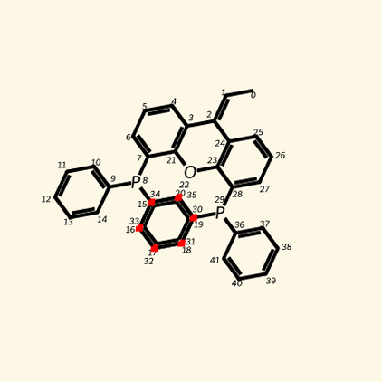 CC=C1c2cccc(P(c3ccccc3)c3ccccc3)c2Oc2c1cccc2P(c1ccccc1)c1ccccc1